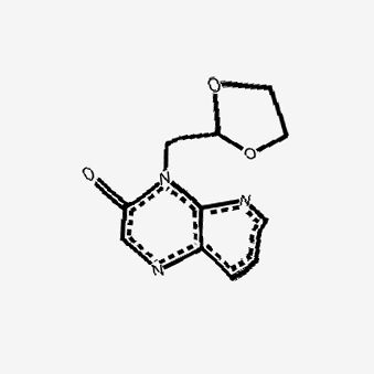 O=c1cnc2cccnc2n1CC1OCCO1